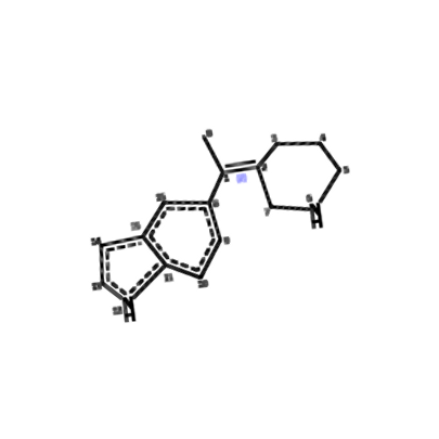 C/C(=C1\CCCNC1)c1ccc2[nH]ccc2c1